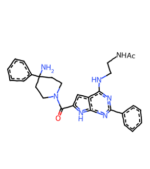 CC(=O)NCCNc1nc(-c2ccccc2)nc2[nH]c(C(=O)N3CCC(N)(c4ccccc4)CC3)cc12